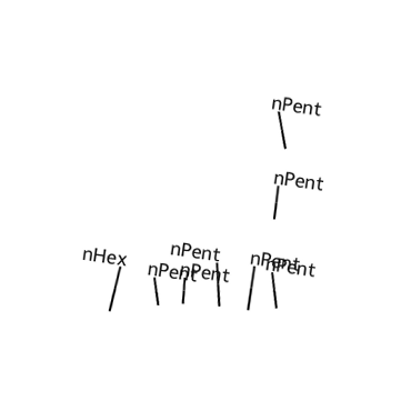 CCCCCC.CCCCCC.CCCCCC.CCCCCC.CCCCCC.CCCCCC.CCCCCC.CCCCCCC